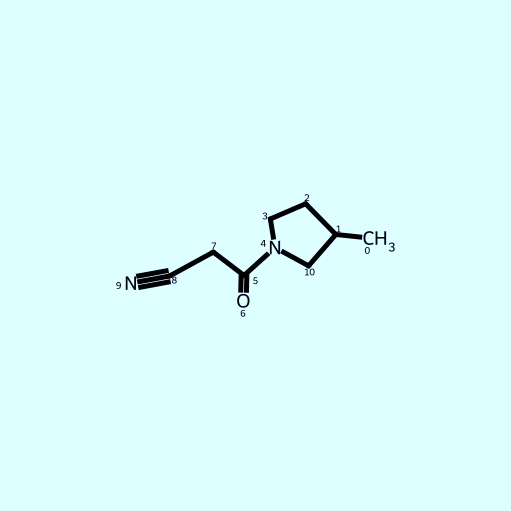 CC1CCN(C(=O)CC#N)C1